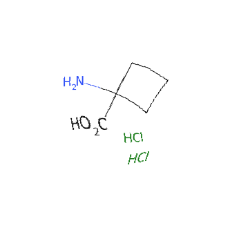 Cl.Cl.NC1(C(=O)O)CCC1